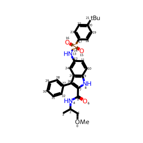 COCC(C)NC(=O)c1[nH]c2ccc(NS(=O)(=O)c3ccc(C(C)(C)C)cc3)cc2c1-c1ccccc1